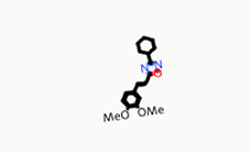 COc1ccc(C=Cc2nc(C3CCCCC3)no2)cc1OC